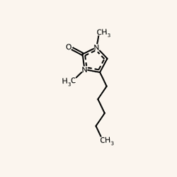 CCCCCc1cn(C)c(=O)n1C